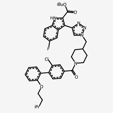 CC(C)CCOc1ccccc1-c1ccc(C(=O)N2CCC(Cn3cc(-c4c(C(=O)OCC(C)C)[nH]c5ccc(F)cc45)nn3)CC2)cc1Cl